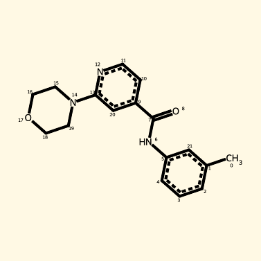 Cc1cccc(NC(=O)c2ccnc(N3CCOCC3)c2)c1